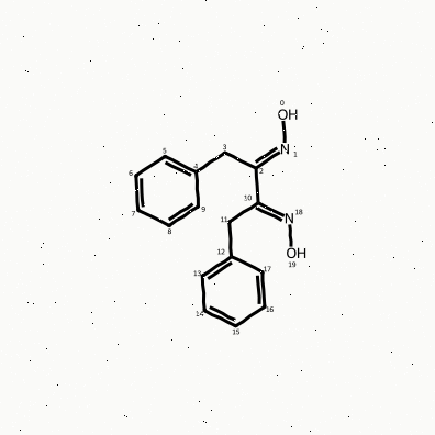 O/N=C(Cc1ccccc1)/C(Cc1ccccc1)=N/O